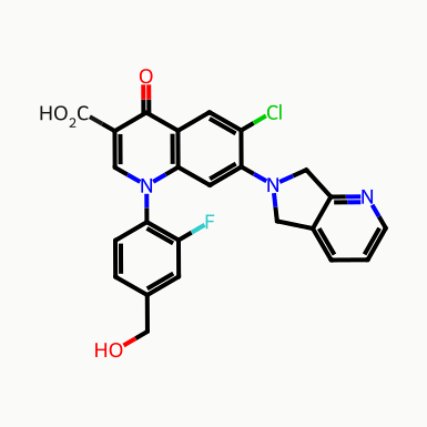 O=C(O)c1cn(-c2ccc(CO)cc2F)c2cc(N3Cc4cccnc4C3)c(Cl)cc2c1=O